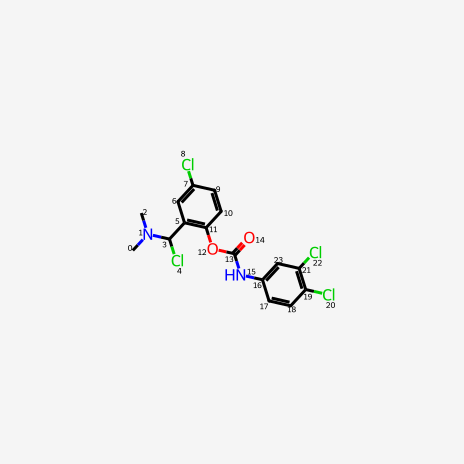 CN(C)C(Cl)c1cc(Cl)ccc1OC(=O)Nc1ccc(Cl)c(Cl)c1